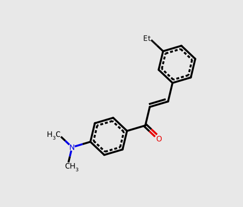 CCc1cccc(C=CC(=O)c2ccc(N(C)C)cc2)c1